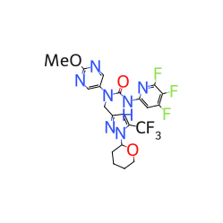 COc1ncc(N(Cc2cc(C(F)(F)F)n(C3CCCCO3)n2)C(=O)Nc2cc(F)c(F)c(F)n2)cn1